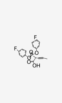 CC#CC(C(=O)O)P(=O)(Oc1ccc(F)cc1)Oc1ccc(F)cc1